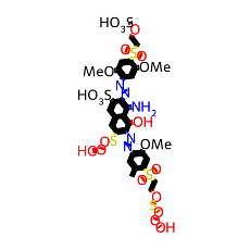 COc1cc(S(=O)(=O)CCOS(=O)(=O)O)c(OC)cc1/N=N/c1c(S(=O)(=O)O)cc2cc(SOOO)c(/N=N/c3cc(C)c(S(=O)(=O)CCOSOOO)cc3OC)c(O)c2c1N